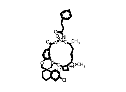 CO[C@H]1/C=C/C[C@H](C)CS(=O)(NC(=O)CCc2ccccc2)=NC(=O)c2ccc3c(c2)N(C[C@@H]2CC[C@H]21)C[C@@]1(CCCc2cc(Cl)ccc21)CO3